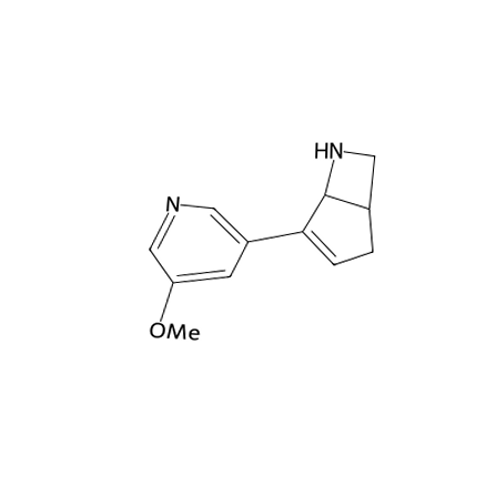 COc1cncc(C2=CCC3CNC23)c1